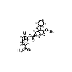 CC(C)(C)OC(=O)NC1(Cc2ccccc2)CCN(C(=O)OC2C3CC4C[C@@H]2C[C@@](C(N)=O)(C4)C3)C1